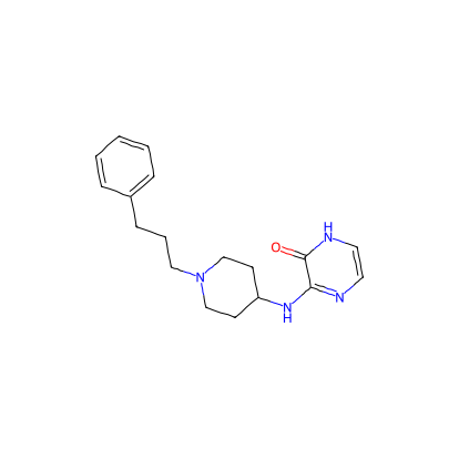 O=c1[nH]ccnc1NC1CCN(CCCc2ccccc2)CC1